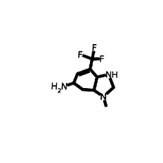 CN1CNC2C(C(F)(F)F)=CC(N)CC21